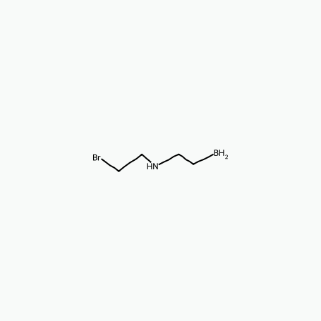 BCCNCCBr